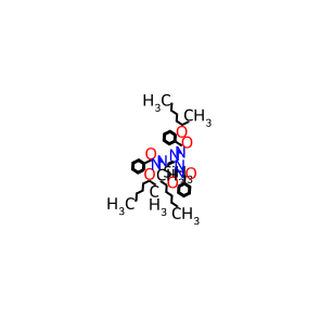 CCCCCC(CC)Oc1ccccc1C(=O)N=NC([SiH3])=C(N=NC(=O)c1ccccc1OC(CC)CCCCC)N=NC(=O)c1ccccc1OC(CC)CCCCC